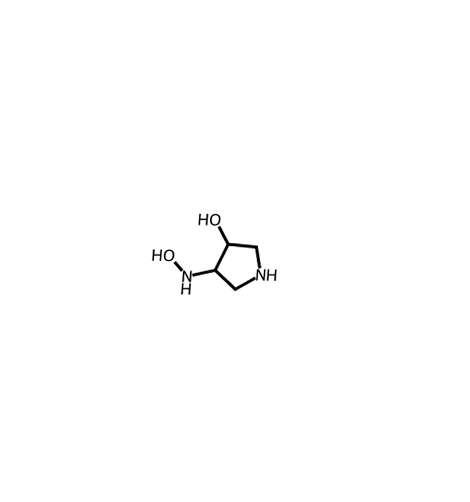 ONC1CNCC1O